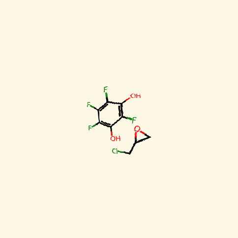 ClCC1CO1.Oc1c(F)c(O)c(F)c(F)c1F